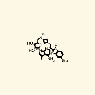 Cc1cn([C@@H]2O[C@H](CN(C(C)C)[C@H]3C[C@H](CCc4nc5cc(C(C)(C)C)ccc5[nH]4)C3)[C@@H](O)[C@H]2O)c2ncnc(N)c12